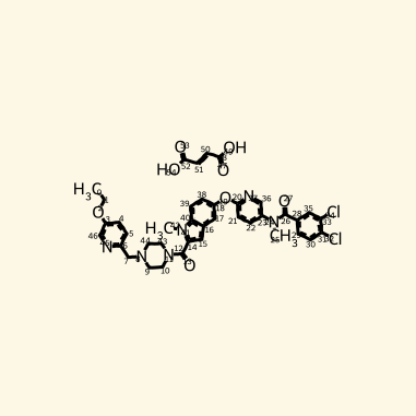 CCOc1ccc(CN2CCN(C(=O)c3cc4cc(Oc5ccc(N(C)C(=O)c6ccc(Cl)c(Cl)c6)cn5)ccc4n3C)CC2)nc1.O=C(O)C=CC(=O)O